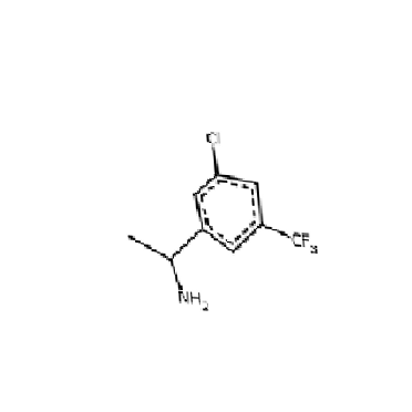 CC(N)c1cc(Cl)cc(C(F)(F)F)c1